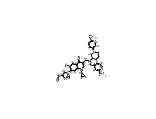 Cc1ccc(N2CCCC(N(Cc3ccnc(C)c3)Cc3cn(C4CC4)c4cc(-n5cc(C=O)nn5)c(F)cc4c3=O)C2)cn1